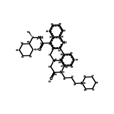 C[C@H](NC(=O)c1c(CN2CCN(CCCN3CCCCC3)C(=O)C2)c(-c2ccccc2)nc2ccccc12)C1CCCCC1